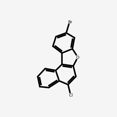 Clc1cc2oc3cc(Br)ccc3c2c2ccccc12